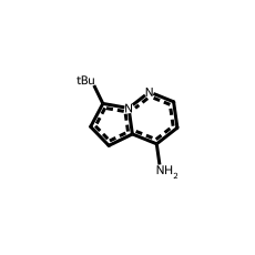 CC(C)(C)c1ccc2c(N)ccnn12